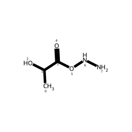 CC(O)C(=O)ONN